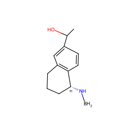 BN[C@@H]1CCCc2cc(C(C)O)ccc21